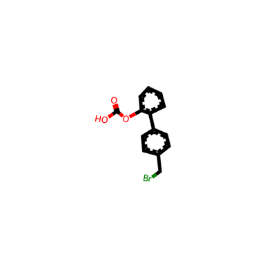 O=C(O)Oc1ccccc1-c1ccc(CBr)cc1